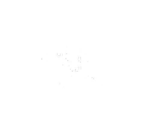 CC(=O)N(C(=O)[C@@H](N)Cc1ccccc1)[C@@](Cn1cc(C)cn1)(C(=O)N[C@@H](CC1CCCCC1)[C@@H](O)CC(=O)NCC(C)C)C1CS(=O)(=O)c2ccccc21.O